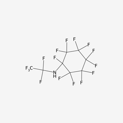 FC(F)(F)C(F)(F)NC1(F)C(F)(F)C(F)(F)C(F)(F)C(F)(F)C1(F)F